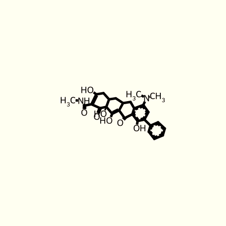 CNC(=O)C1=C(O)CC2CC3Cc4c(N(C)C)cc(-c5ccccc5)c(O)c4C(=O)C3=C(O)[C@]2(O)C1=O